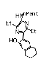 CCCCCNc1nc(CC)c(-c2cc3c(cc2O)CCCC3)nc1CC